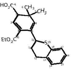 CCOC(=O)C1=CC(C(=O)O)C(C)(C)C=C1C1CCc2ccccc2S1